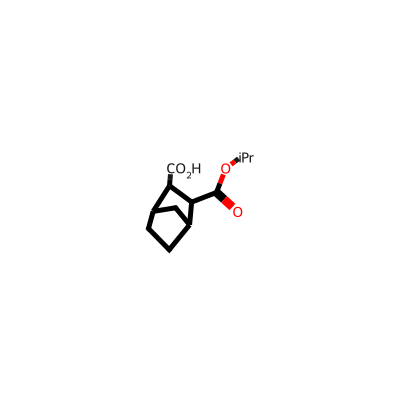 CC(C)OC(=O)C1C2CCC(C2)C1C(=O)O